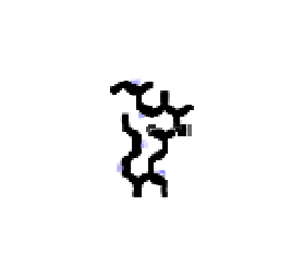 C=C(/C=C\C=C/CC)/C(=C\C)CCC(=O)NC(C)C(=C)/C=C\C(C)=C/C